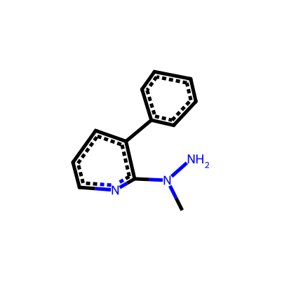 CN(N)c1ncccc1-c1ccccc1